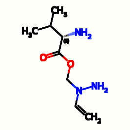 C=CN(N)COC(=O)[C@@H](N)C(C)C